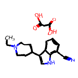 CCN1CCC(c2c[nH]c3c(C#N)cccc23)CC1.O=C(O)C(=O)O